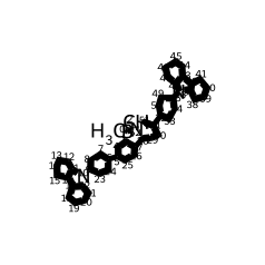 C[B-]1(C)c2cc(-c3ccc(-n4c5ccccc5c5ccccc54)cc3)ccc2-c2ccc(-c3ccc(-n4c5ccccc5c5ccccc54)cc3)c[n+]21